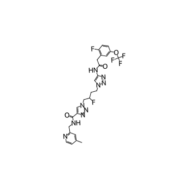 Cc1ccnc(CNC(=O)c2cn(CC(F)CCn3cc(NC(=O)Cc4cc(OC(F)(F)F)ccc4F)nn3)nn2)c1